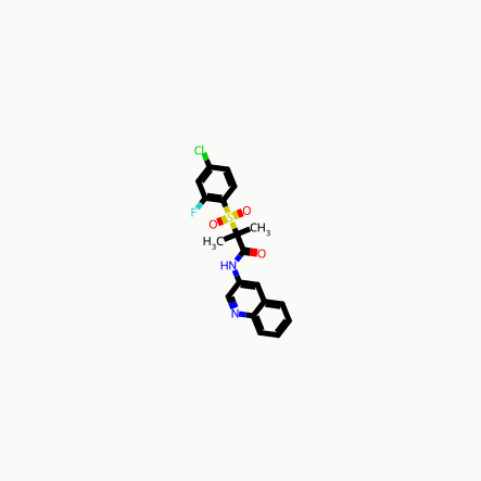 CC(C)(C(=O)Nc1cnc2ccccc2c1)S(=O)(=O)c1ccc(Cl)cc1F